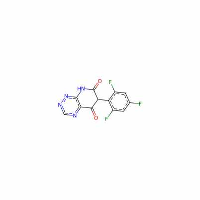 O=C1Nc2nncnc2C(=O)C1c1c(F)cc(F)cc1F